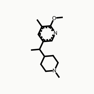 COc1ncc(C(C)C2CCN(C)CC2)cc1C